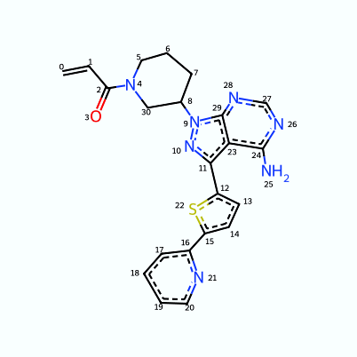 C=CC(=O)N1CCCC(n2nc(-c3ccc(-c4ccccn4)s3)c3c(N)ncnc32)C1